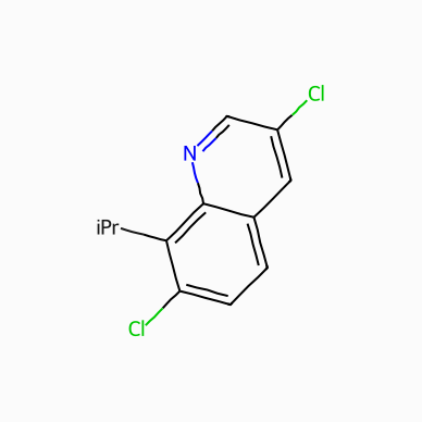 CC(C)c1c(Cl)ccc2cc(Cl)cnc12